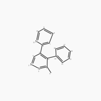 Cc1nncc(-c2ccccn2)c1-c1ccccc1